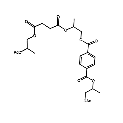 CC(=O)OCC(C)OC(=O)c1ccc(C(=O)OCC(C)OC(=O)CCC(=O)OCC(C)OC(C)=O)cc1